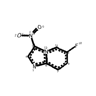 O=[N+]([O-])c1cnc2ccc(F)cn12